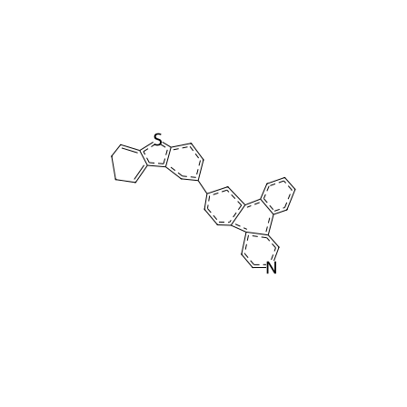 C1=c2sc3ccc(-c4ccc5c6ccncc6c6ccccc6c5c4)cc3c2=CCC1